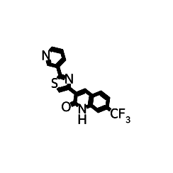 O=c1[nH]c2cc(C(F)(F)F)ccc2cc1-c1csc(-c2cccnc2)n1